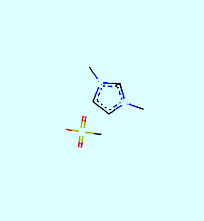 CS(=O)(=O)[O-].Cn1cc[n+](C)c1